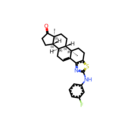 C[C@]12CCc3sc(Nc4cccc(F)c4)nc3C1=CC[C@@H]1[C@@H]2CC[C@]2(C)C(=O)CC[C@@H]12